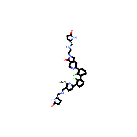 COc1nc(-c2cccc(-c3cccc(-c4cc5c(cn4)C(=O)N(CCNC[C@@H]4CCC(=O)N4)C5)c3Cl)c2Cl)ccc1CNC[C@H]1CCC(=O)N1